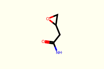 [NH]C(=O)CC1CO1